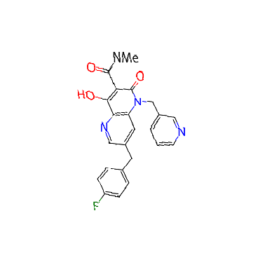 CNC(=O)c1c(O)c2ncc(Cc3ccc(F)cc3)cc2n(Cc2cccnc2)c1=O